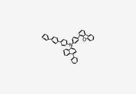 c1ccc(-c2ccc(-c3ccc(N(c4ccc(-c5cccc6c5oc5ccccc56)cc4)c4ccc(-c5ccccc5)c5ccccc45)cc3)cc2)cc1